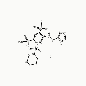 NS(=O)(=O)c1cc(S(=O)(=O)[O-])c(NCc2ccco2)cc1S(=O)(=O)C1CCCCC1.[K+]